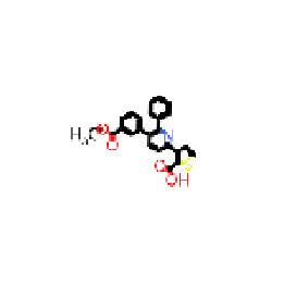 COC(=O)c1cccc(-c2ccc(-c3ccsc3C(=O)O)nc2-c2ccccc2)c1